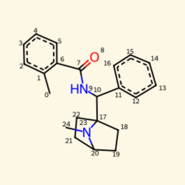 Cc1ccccc1C(=O)NC(c1ccccc1)C12CCC(CC1)N2C